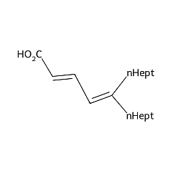 CCCCCCCC(=CC=CC(=O)O)CCCCCCC